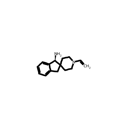 C=CN1CCC2(CC1)Cc1ccccc1[C@H]2N